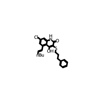 CCCCC=Cc1cc(Cl)cc2[nH]c(=O)c(SCCCc3ccccc3)c(O)c12